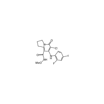 CONC(=O)c1c(Nc2ccc(I)cc2F)c(Cl)c(=O)n2c1CCC2